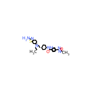 CCCN(CC[C@H]1CC[C@H](NC(=O)c2ccc(-c3noc(C)n3)cc2)CC1)[C@H]1CCc2nc(N)sc2C1